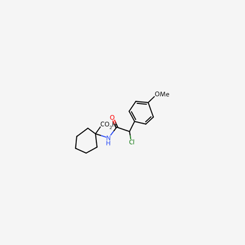 COc1ccc(C(Cl)C(=O)NC2(C(=O)O)CCCCC2)cc1